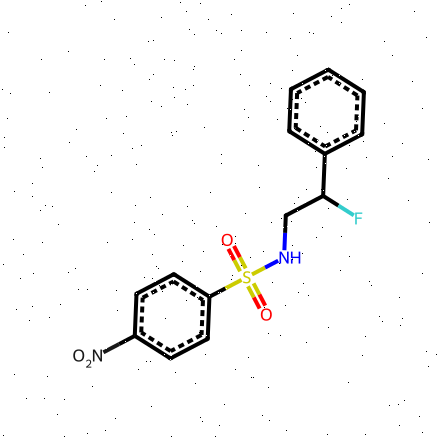 O=[N+]([O-])c1ccc(S(=O)(=O)NCC(F)c2ccccc2)cc1